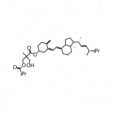 C=C1CC[C@H](OC(=O)C(C)(CO)COC(=O)C(C)C)C/C1=C/C=C1\CCC[C@@]2(C)C1CCC2[C@H](C)/C=C/[C@H](C)C(C)C